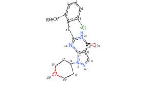 COc1cccc(Cl)c1Cc1nc2c(cnn2C2CCOCC2)c(=O)[nH]1